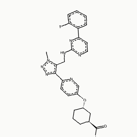 Cn1nnc(-c2ccc(O[C@H]3CCC[C@H](C(=O)O)C3)cn2)c1CNc1nccc(-c2ccccc2F)n1